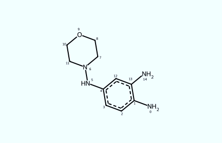 Nc1ccc(NN2CCOCC2)cc1N